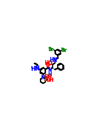 CCNc1cc(C(=O)N[C@@H](Cc2ccccc2)[C@@H](O)CNCc2cc(Br)cc(Br)c2)cc(N2CCCCS2(O)O)c1